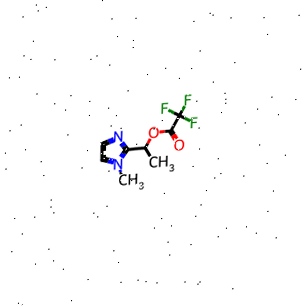 CC(OC(=O)C(F)(F)F)c1nccn1C